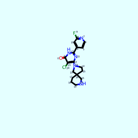 O=c1[nH]c(-c2ccnc(F)c2)nc(N2CCC3(CCCNC3)C2)c1Cl